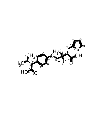 CC(C)[C@H](C(=O)O)c1ccc(OCC(C)(C)[C@H](Cc2cccs2)C(=O)O)cc1